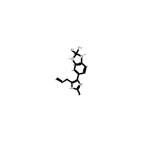 C=CCc1oc(C)nc1-c1ccc2c(c1)OC(F)(F)O2